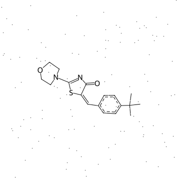 CC(C)(C)c1ccc(C=C2SC(N3CCOCC3)=NC2=O)cc1